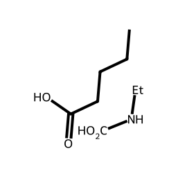 CCCCC(=O)O.CCNC(=O)O